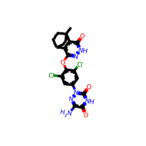 CC12CCC(CC1)c1c(Oc3c(Cl)cc(-n4nc(N)c(=O)[nH]c4=O)cc3Cl)n[nH]c(=O)c12